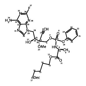 C#C[C@](COP(=O)(N[C@@H](C)C(=O)OCCCCCCCCCCCCCC)Oc1ccccc1)(OC)[C@@H](O)Cn1cnc2c(N)nc(F)nc21